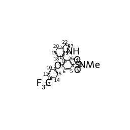 CNS(=O)(=O)c1ccc(Oc2ccc(C(F)(F)F)cc2)c(-c2cccc3cc[nH]c23)c1